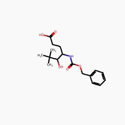 CC(C)(C)C(O)C(CCC(=O)O)NC(=O)OCc1ccccc1